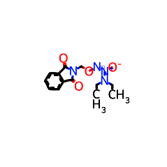 CCN(CC)/[N+]([O-])=N\OCN1C(=O)c2ccccc2C1=O